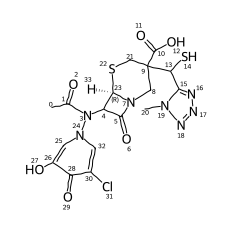 CC(=O)N(C1C(=O)N2CC(C(=O)O)(C(S)c3nnnn3C)CS[C@H]12)n1cc(O)c(=O)c(Cl)c1